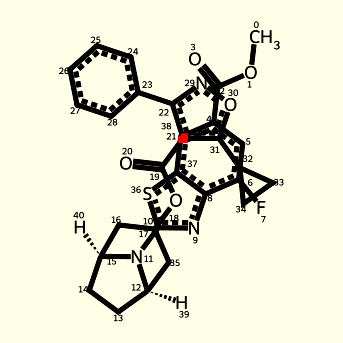 COC(=O)c1cc(F)c2nc(N3[C@@H]4CC[C@H]3CC(OC(=O)c3c(-c5ccccc5)noc3C3CC3)C4)sc2c1